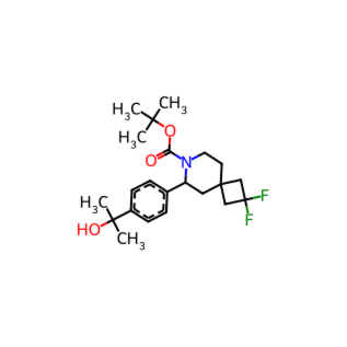 CC(C)(C)OC(=O)N1CCC2(CC1c1ccc(C(C)(C)O)cc1)CC(F)(F)C2